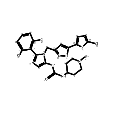 CC(C)N1CCC(NC(=O)Oc2cnc(-c3c(Cl)cccc3Cl)n2Cc2cc(-c3ccc(Cl)s3)on2)CC1